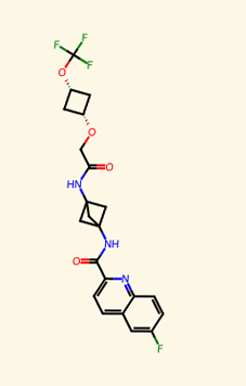 O=C(CO[C@H]1C[C@@H](OC(F)(F)F)C1)NC12CC(NC(=O)c3ccc4cc(F)ccc4n3)(C1)C2